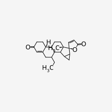 CCC1CC2=CC(=O)CC[C@@H]2C2CC[C@@]3(C)C(C4CC4[C@@]34C=CC(=O)O4)C12